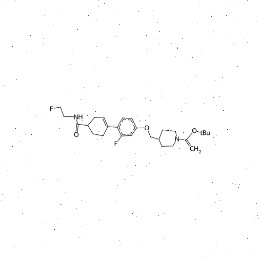 C=C(OC(C)(C)C)N1CCC(COc2ccc(C3=CCC(C(=O)NCCF)CC3)c(F)c2)CC1